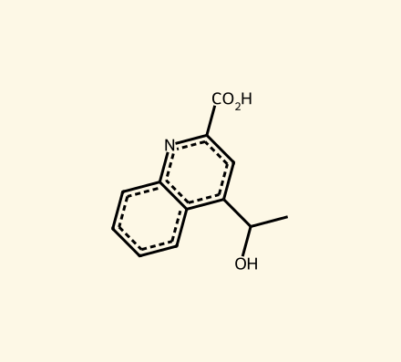 CC(O)c1cc(C(=O)O)nc2ccccc12